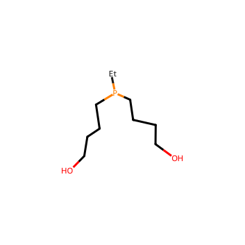 CCP(CCCCO)CCCCO